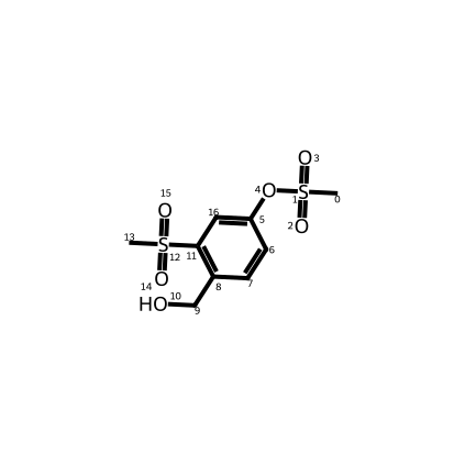 CS(=O)(=O)Oc1ccc(CO)c(S(C)(=O)=O)c1